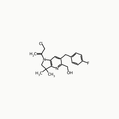 C=C(CCl)N1CC(C)(C)c2nc(CO)c(Cc3ccc(F)cc3)cc21